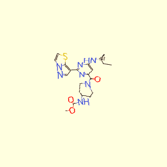 CC[C@H](C)Nc1cc(C(=O)N2CCC(NC(=O)OC)CC2)nc(-c2cnn3ccsc23)n1